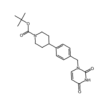 CC(C)(C)OC(=O)N1CCC(c2ccc(Cn3ccc(=O)[nH]c3=O)cc2)CC1